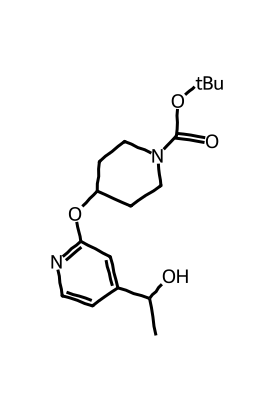 CC(O)c1ccnc(OC2CCN(C(=O)OC(C)(C)C)CC2)c1